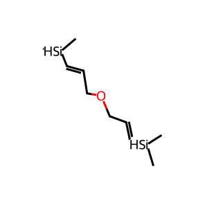 C[SiH](C)C=CCOCC=C[SiH](C)C